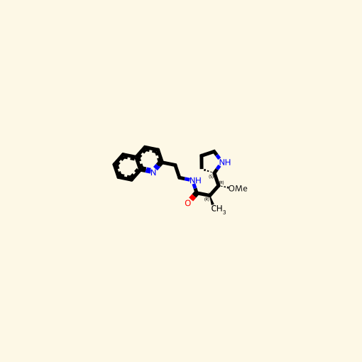 CO[C@@H]([C@@H]1CCCN1)[C@@H](C)C(=O)NCCc1ccc2ccccc2n1